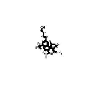 Cc1n[nH]c2c1C(c1cc(/C=C/CCO)cc(C(F)(F)F)c1)(C(C)C)C(C#N)=C(N)O2